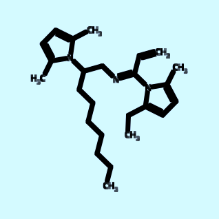 C=C/C(=N\CC(CCCCCCC)n1c(C)ccc1C)n1c(C)ccc1CC